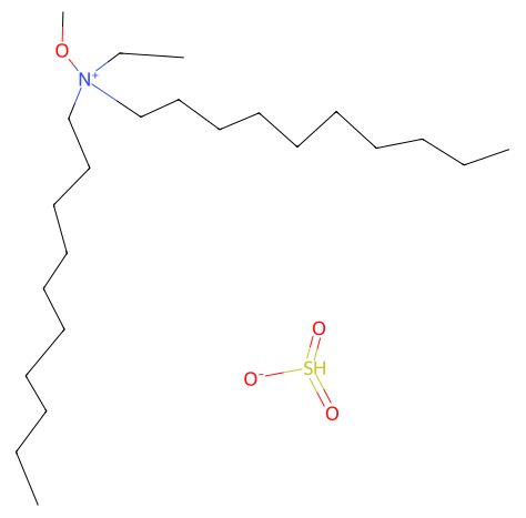 CCCCCCCCCC[N+](CC)(CCCCCCCCCC)OC.O=[SH](=O)[O-]